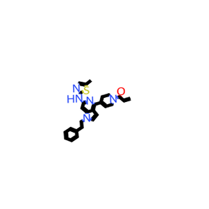 C=CC(=O)N1CC=C(c2nc(Nc3ncc(C)s3)cc3c2ccn3CCc2ccccc2)CC1